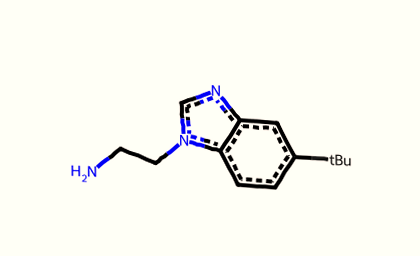 CC(C)(C)c1ccc2c(c1)ncn2CCN